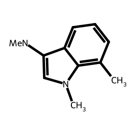 CNc1cn(C)c2c(C)cccc12